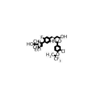 CCn1cc(-c2ccc(C[C@@H](CCO)NC(=O)c3ccc(O[C@H](C)C(F)(F)F)c(Cl)c3)cc2F)nc1C(C)(C)O